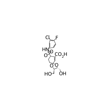 O=C(O)C1=CC2(CCC1S(=O)(=O)Nc1ccc(F)c(Cl)c1)O[C@H](CO)[C@@H](CO)O2